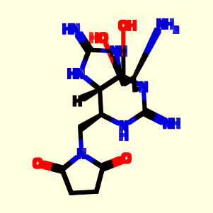 N=C1N[C@H]2[C@H](CN3C(=O)CCC3=O)NC(=N)N3C[C@H](N)C(O)(O)[C@]23N1